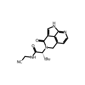 CC(C)(C)[C@H](C(=O)NCC#N)N1Cc2ccnc3[nH]cc(c23)C1=O